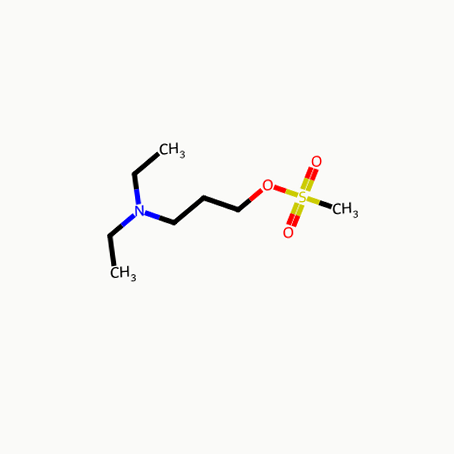 CCN(CC)CCCOS(C)(=O)=O